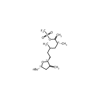 C=C(OS(=O)(=O)C(F)(F)F)[C@H](C)CC(C)CC[C@@H]1O[C@@H](CCCC)CC1=C